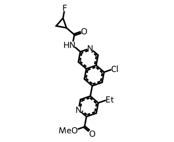 CCc1cc(C(=O)OC)ncc1-c1cc(Cl)c2cnc(NC(=O)C3CC3F)cc2c1